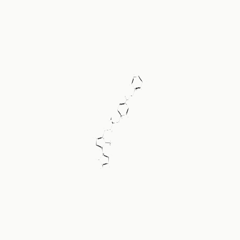 CCC1C(CCC(=O)Cc2ccc(OCc3ccccc3)cc2)=CC=C1C1=CC=CC1